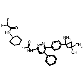 CC1(O)CC(N)(c2ccc(-c3nnc(NC(=O)C[C@H]4CC[C@H](NC(=O)C(F)F)CC4)cc3-c3ccccc3)cc2)C1